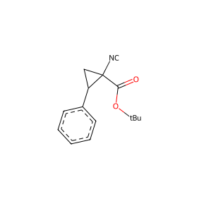 [C-]#[N+]C1(C(=O)OC(C)(C)C)CC1c1ccccc1